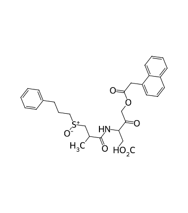 CC(C[S+]([O-])CCCc1ccccc1)C(=O)NC(CC(=O)O)C(=O)COC(=O)Cc1cccc2ccccc12